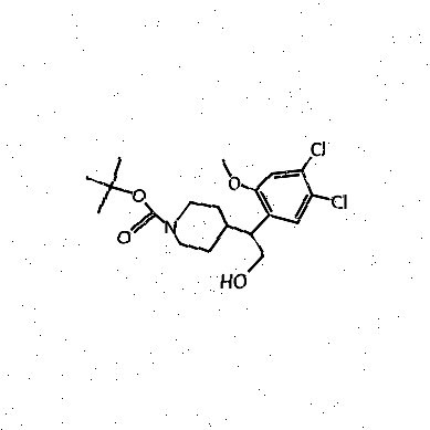 COc1cc(Cl)c(Cl)cc1C(CO)C1CCN(C(=O)OC(C)(C)C)CC1